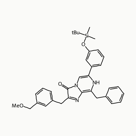 COCc1cccc(Cc2nc3c(Cc4ccccc4)[nH]c(-c4cccc(O[Si](C)(C)C(C)(C)C)c4)cn-3c2=O)c1